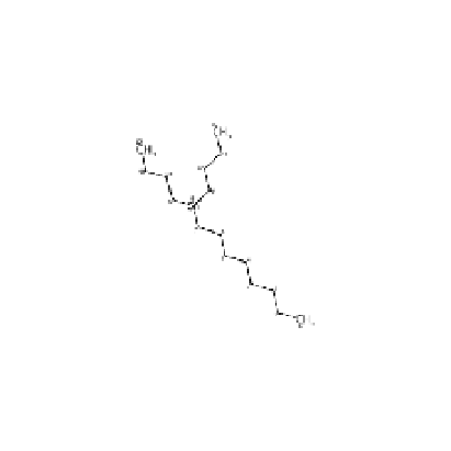 CCCCCCC[CH2][Sn]([CH2]CCC)[CH2]CCC